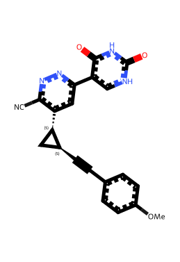 COc1ccc(C#C[C@H]2C[C@@H]2c2cc(-c3c[nH]c(=O)[nH]c3=O)nnc2C#N)cc1